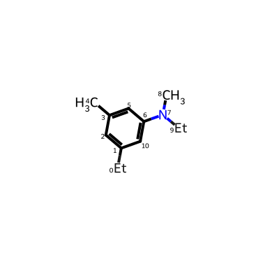 CCc1cc(C)cc(N(C)CC)c1